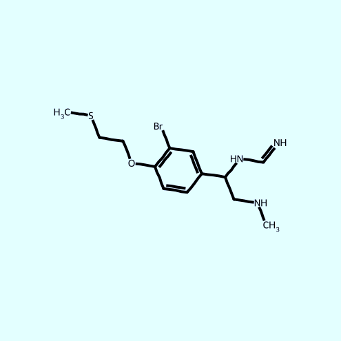 CNCC(NC=N)c1ccc(OCCSC)c(Br)c1